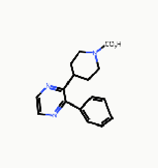 O=C(O)N1CCC(c2nccnc2-c2ccccc2)CC1